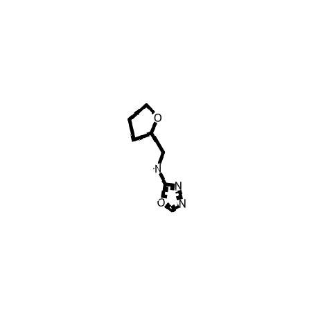 c1nnc([N]CC2CCCO2)o1